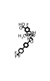 COc1cc(C(=O)O)c(F)cc1NS(=O)(=O)c1coc(-c2ccc(C3=CCC(C(F)(F)F)CC3)cc2)n1